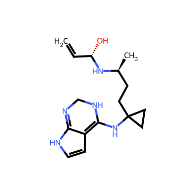 C=C[C@H](O)N[C@@H](C)CCC1(NC2=c3cc[nH]c3=NCN2)CC1